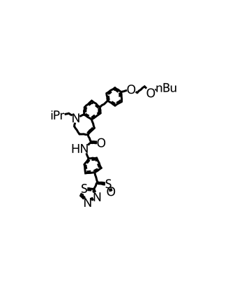 CCCCOCCOc1ccc(-c2ccc3c(c2)C=C(C(=O)Nc2ccc(C(=S=O)c4nncs4)cc2)CCN3CC(C)C)cc1